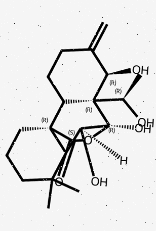 C=C1CCC2[C@]34CCCC(C)(C)C3[C@H](O)[C@](O)(OC4=O)[C@]2([C@@H](C)O)[C@@H]1O